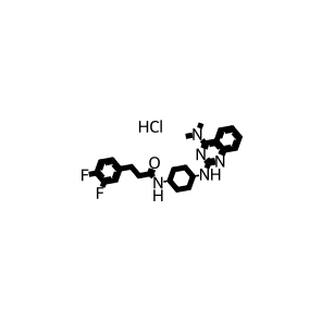 CN(C)c1nc(N[C@H]2CC[C@@H](NC(=O)CCc3ccc(F)c(F)c3)CC2)nc2ccccc12.Cl